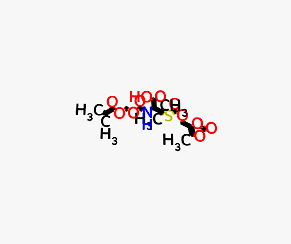 Cc1oc(=O)oc1COC(=O)SC(C)(C)[C@@H](NC(=O)OCOC(=O)C(C)C)C(=O)O